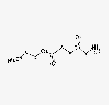 COCCOC(=O)CCC(=O)CN